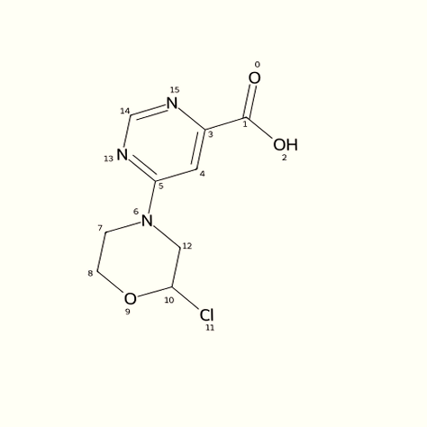 O=C(O)c1cc(N2CCOC(Cl)C2)ncn1